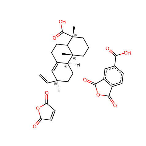 C=C[C@@]1(C)C=C2CCC3[C@](C)(C(=O)O)CCC[C@]3(C)[C@H]2CC1.O=C(O)c1ccc2c(c1)C(=O)OC2=O.O=C1C=CC(=O)O1